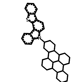 c1ccc2c(c1)sc1c2ccc2c1c1ccccc1n2C1CCC2C(C1)C1CCCC3C4CCCCC4C4CCCC2C4C31